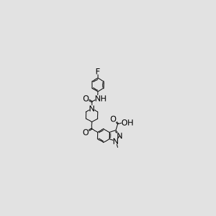 Cn1nc(C(=O)O)c2cc(C(=O)C3CCN(C(=O)Nc4ccc(F)cc4)CC3)ccc21